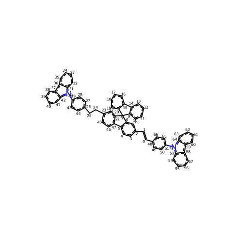 C(=C\c1ccc2c(c1)C1(c3ccccc3-c3ccccc31)c1cc(CCc3ccc(-n4c5ccccc5c5ccccc54)cc3)ccc1-2)/c1ccc(-n2c3ccccc3c3ccccc32)cc1